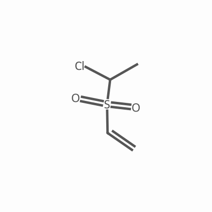 C=CS(=O)(=O)C(C)Cl